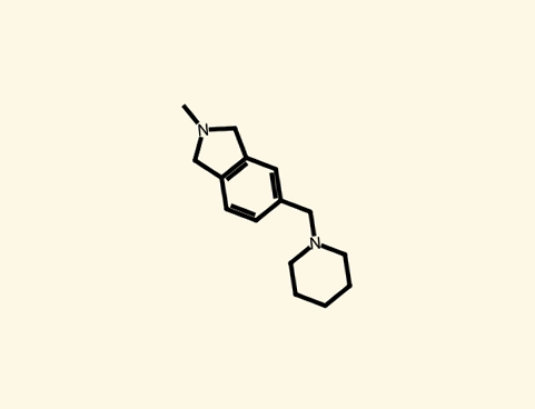 CN1Cc2ccc(CN3CCCCC3)cc2C1